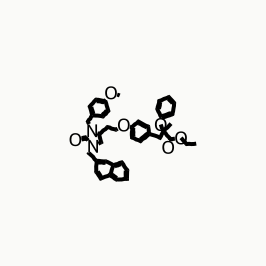 CCOC(=O)C(C)(Cc1ccc(OCCC2CN(Cc3ccc4ccccc4c3)C(=O)N2Cc2ccc(OC)cc2)cc1)Oc1ccccc1